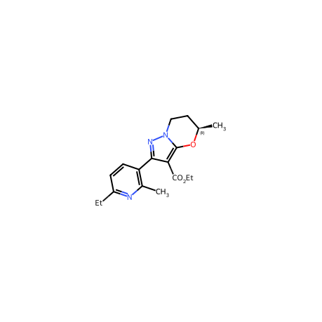 CCOC(=O)c1c(-c2ccc(CC)nc2C)nn2c1O[C@H](C)CC2